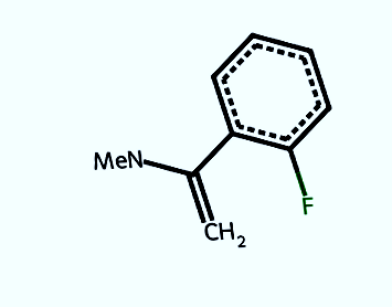 C=C(NC)c1ccccc1F